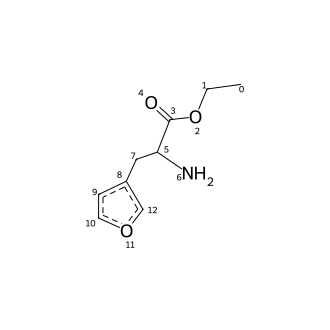 CCOC(=O)C(N)Cc1ccoc1